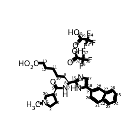 CN1CC[C@H](C(=O)N[C@@H](CCCCCC(=O)O)c2ncc(-c3ccc4ccccc4c3)[nH]2)C1.O=C(O)C(F)(F)F.O=C(O)C(F)(F)F